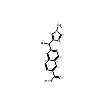 CNC(=O)c1ccc2cc(C(O)c3cn(P)cn3)ccc2c1